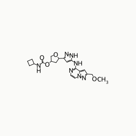 COCc1cc2c(Nc3cc(C4CC(OC(=O)NC5CCC5)CO4)n[nH]3)nccn2n1